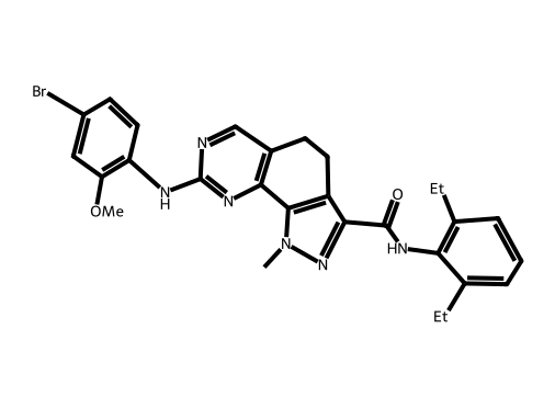 CCc1cccc(CC)c1NC(=O)c1nn(C)c2c1CCc1cnc(Nc3ccc(Br)cc3OC)nc1-2